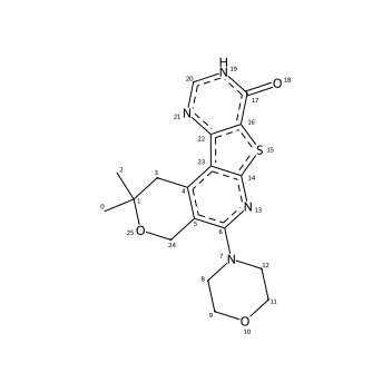 CC1(C)Cc2c(c(N3CCOCC3)nc3sc4c(=O)[nH]cnc4c23)CO1